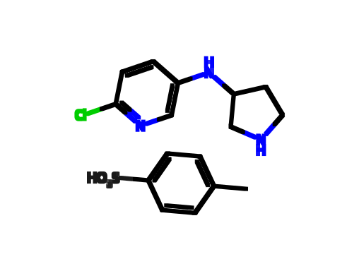 Cc1ccc(S(=O)(=O)O)cc1.Clc1ccc(NC2CCNC2)cn1